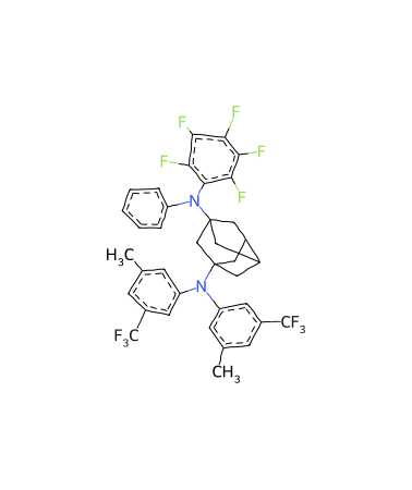 Cc1cc(N(c2cc(C)cc(C(F)(F)F)c2)C23CC4CC(N(c5ccccc5)c5c(F)c(F)c(F)c(F)c5F)(CC4C2)C3)cc(C(F)(F)F)c1